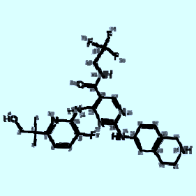 CC(C)(CO)c1ccc(F)c(Nc2nc(Nc3ccc4c(c3)CCNC4)ncc2C(=O)NCC(F)(F)F)n1